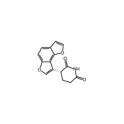 O=C1CC[C@H](c2coc3ccc4ccoc4c23)C(=O)N1